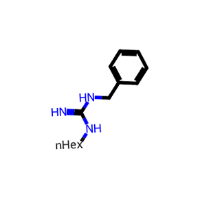 CCCCCCNC(=N)NCc1ccccc1